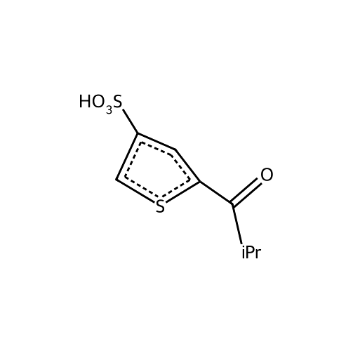 CC(C)C(=O)c1cc(S(=O)(=O)O)cs1